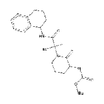 CCC(C)(C(=O)NC1CCCc2ccccc21)N1CCCC(NC(=O)OC(C)(C)C)C1=O